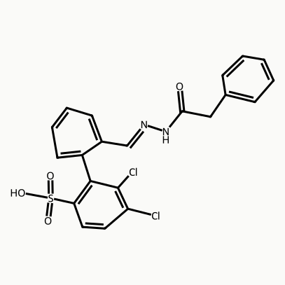 O=C(Cc1ccccc1)NN=Cc1ccccc1-c1c(S(=O)(=O)O)ccc(Cl)c1Cl